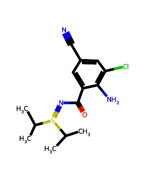 CC(C)S(=NC(=O)c1cc(C#N)cc(Cl)c1N)C(C)C